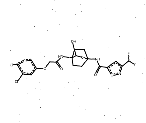 O=C(COc1ccc(Cl)c(Cl)c1)NC12CCC(NC(=O)c3cc(C(F)F)no3)(CC1)CC2O